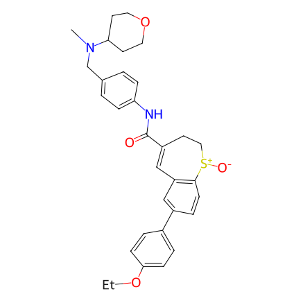 CCOc1ccc(-c2ccc3c(c2)C=C(C(=O)Nc2ccc(CN(C)C4CCOCC4)cc2)CC[S+]3[O-])cc1